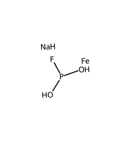 OP(O)F.[Fe].[NaH]